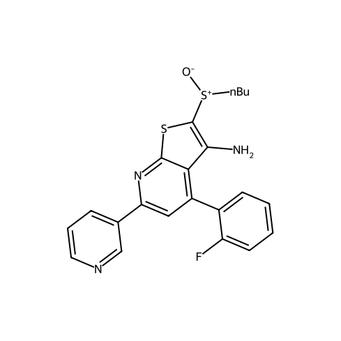 CCCC[S+]([O-])c1sc2nc(-c3cccnc3)cc(-c3ccccc3F)c2c1N